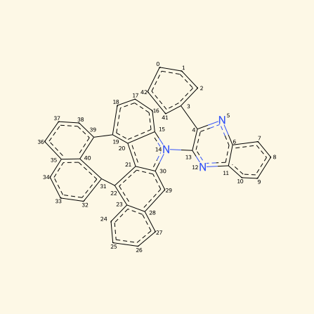 c1ccc(-c2nc3ccccc3nc2-n2c3cccc4c3c3c(c5ccccc5cc32)-c2cccc3cccc-4c23)cc1